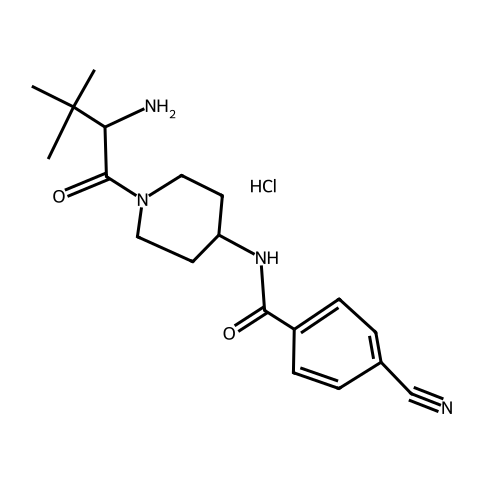 CC(C)(C)C(N)C(=O)N1CCC(NC(=O)c2ccc(C#N)cc2)CC1.Cl